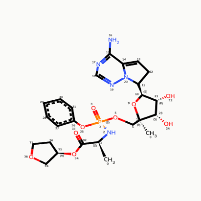 C[C@H](N[P@](=O)(OC[C@@]1(C)O[C@@H](C2CC=C3C(N)=NC=NN32)[C@H](O)[C@@H]1O)Oc1ccccc1)C(=O)O[C@@H]1CCOC1